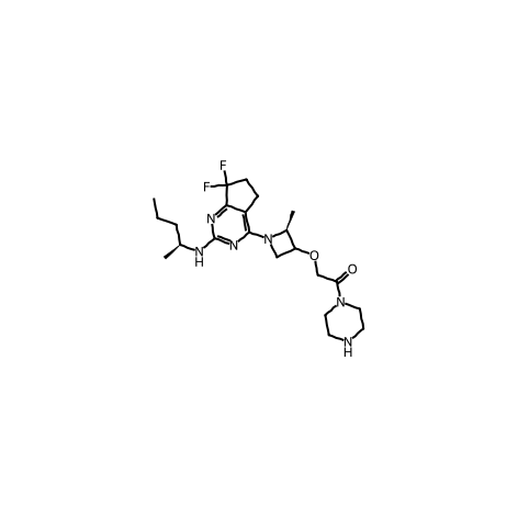 CCC[C@H](C)Nc1nc(N2CC(OCC(=O)N3CCNCC3)[C@@H]2C)c2c(n1)C(F)(F)CC2